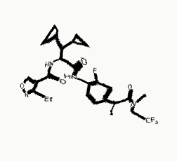 CCc1nocc1C(=O)N[C@H](C(=O)Nc1ccc([C@H](C)C(=O)N(C)CC(F)(F)F)cc1F)C(C1CC1)C1CC1